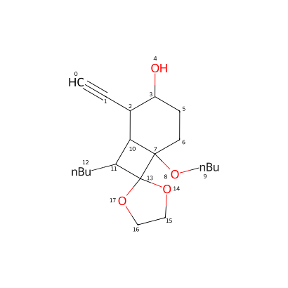 C#CC1C(O)CCC2(OCCCC)C1C(CCCC)C21OCCO1